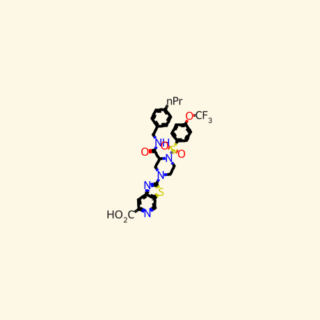 CCCc1ccc(CNC(=O)C2CN(c3nc4cc(C(=O)O)ncc4s3)CCN2S(=O)(=O)c2ccc(OC(F)(F)F)cc2)cc1